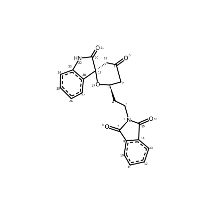 O=C1C[C@@H](CCN2C(=O)c3ccccc3C2=O)O[C@]2(C1)C(=O)Nc1ccccc12